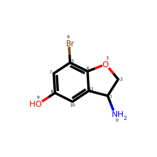 NC1COc2c(Br)cc(O)cc21